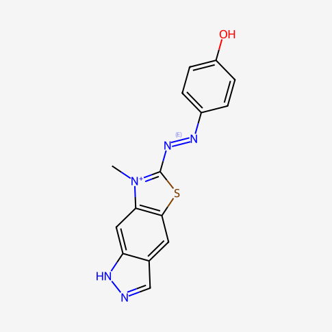 C[n+]1c(/N=N/c2ccc(O)cc2)sc2cc3cn[nH]c3cc21